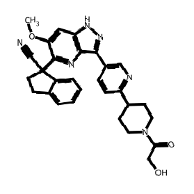 COc1cc2[nH]nc(-c3ccc(C4CCN(C(=O)CO)CC4)nc3)c2nc1C1(C#N)CCc2ccccc21